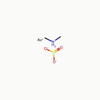 C[NH2+]C.O=S([O-])[O-].[Au+]